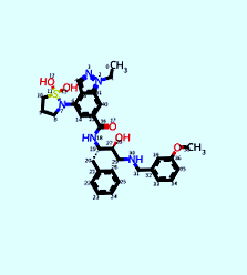 CCn1ncc2c(N3CCCS3(O)O)cc(C(=O)N[C@@H](Cc3ccccc3)[C@@H](O)CNCc3cccc(OC)c3)cc21